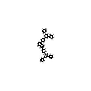 c1ccc(-c2cc(-c3ccccc3)nc(-c3ccc(-c4ccc5c(-c6ccc(-c7nc(-c8ccccc8)cc(-c8ccccc8)n7)cc6)cccc5c4)cc3)n2)cc1